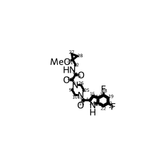 COC1(CNC(=O)C(=O)N2CCN(C(=O)c3cc4c(F)cc(F)cc4[nH]3)CC2)CC1